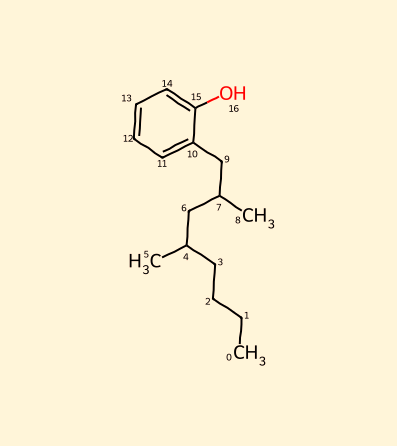 CCCCC(C)CC(C)Cc1ccccc1O